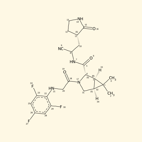 CC1(C)[C@@H]2[C@@H](C(=O)NC(C#N)C[C@@H]3CCNC3=O)N(C(=O)CNc3c(F)cc(F)cc3F)C[C@@H]21